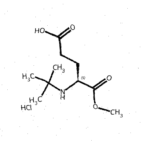 COC(=O)[C@H](CCC(=O)O)NC(C)(C)C.Cl